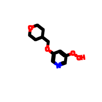 OOc1cncc(OCC2CCOCC2)c1